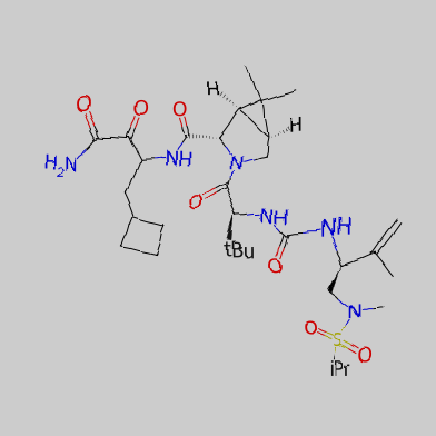 C=C(C)[C@@H](CN(C)S(=O)(=O)C(C)C)NC(=O)N[C@H](C(=O)N1C[C@H]2[C@@H]([C@H]1C(=O)NC(CC1CCC1)C(=O)C(N)=O)C2(C)C)C(C)(C)C